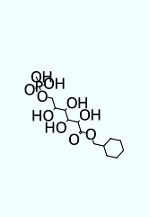 O=C(OCC1CCCCC1)C(O)C(O)C(O)C(O)COP(=O)(O)O